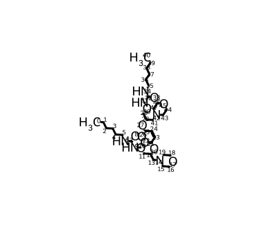 CCCCCCNC(=O)NOCC(CN1CCOCC1)OC(=O)/C=C\C(=O)OC(CONC(=O)NCCCCCC)CN1CCOCC1